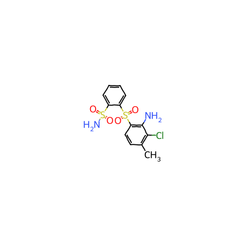 Cc1ccc(S(=O)(=O)c2ccccc2S(N)(=O)=O)c(N)c1Cl